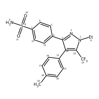 CCn1nc(-c2ccc(S(N)(=O)=O)cc2)c(-c2ccc(C)cc2)c1C(F)(F)F